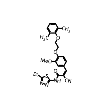 CCc1nnc(NC(=O)C(C#N)=Cc2ccc(OCCOc3c(C)cccc3C)c(OC)c2)s1